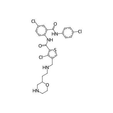 O=C(Nc1ccc(Cl)cc1)c1cc(Cl)ccc1NC(=O)c1scc(CNCCC2CNCCO2)c1Cl